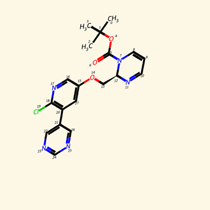 CC(C)(C)OC(=O)N1C=CC=N[C@H]1COc1cnc(Cl)c(-c2cncnc2)c1